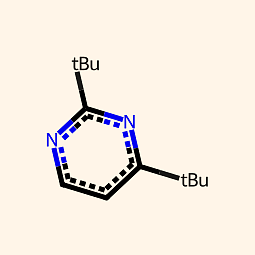 CC(C)(C)c1ccnc(C(C)(C)C)n1